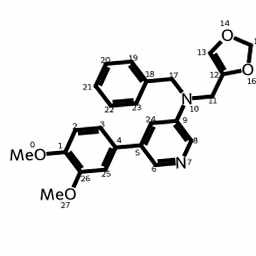 COc1ccc(-c2cncc(N(CC3=COCO3)Cc3ccccc3)c2)cc1OC